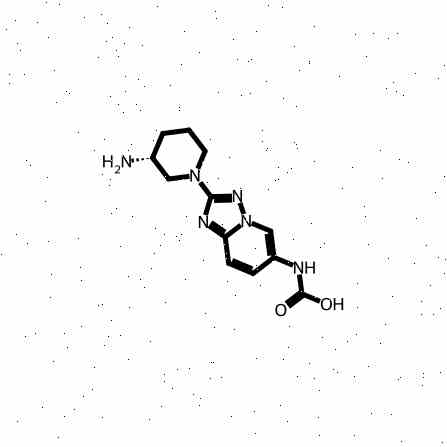 N[C@@H]1CCCN(c2nc3ccc(NC(=O)O)cn3n2)C1